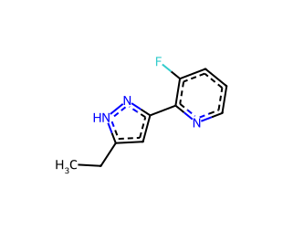 CCc1cc(-c2ncccc2F)n[nH]1